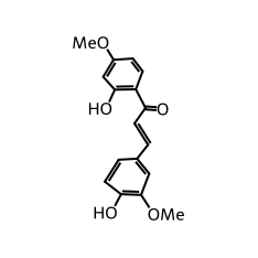 COc1ccc(C(=O)/C=C/c2ccc(O)c(OC)c2)c(O)c1